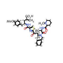 CCC(C)C(NC(=O)C1CCCCN1C)C(=O)N(Cc1ccccc1)[C@H](CC(=O)c1nc(C(=O)N[C@@H](Cc2ccc(OC)cc2)C[C@H](C)C(=O)O)cs1)C(C)C